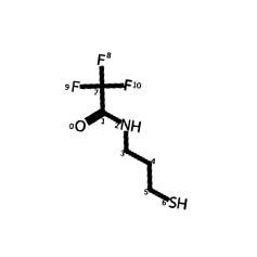 O=C(NCCCS)C(F)(F)F